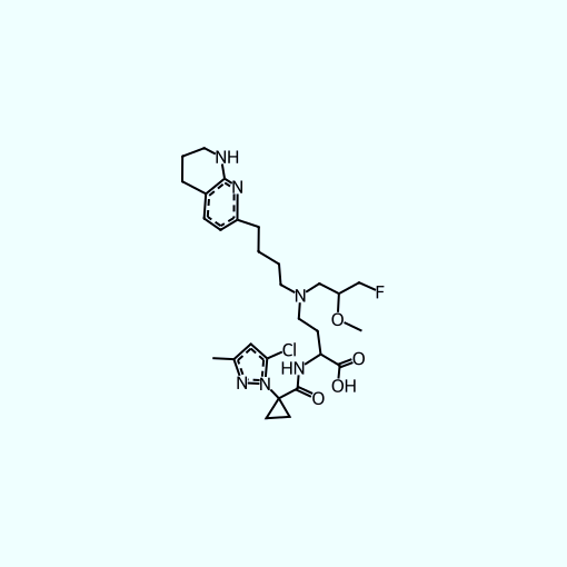 COC(CF)CN(CCCCc1ccc2c(n1)NCCC2)CCC(NC(=O)C1(n2nc(C)cc2Cl)CC1)C(=O)O